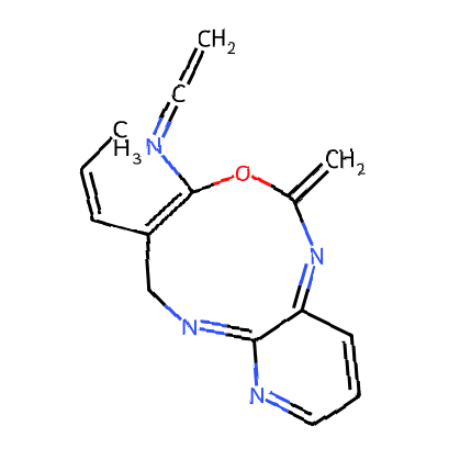 C=C=N/C1=C(\C=C/C)C/N=c2/nccc/c2=N/C(=C)O1